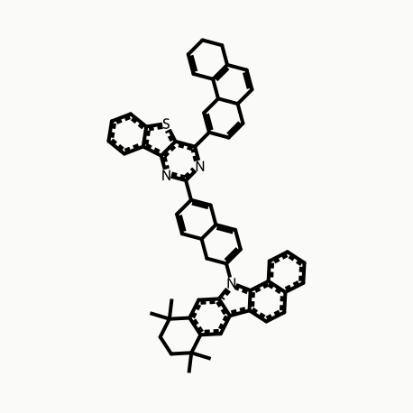 CC1(C)CCC(C)(C)c2cc3c(cc21)c1ccc2ccccc2c1n3C1=CC=C2C=C(c3nc(C4=CC5C6=C(C=CC5C=C4)CCC=C6)c4sc5ccccc5c4n3)C=CC2C1